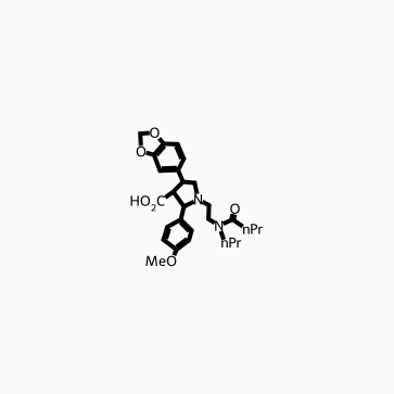 CCCC(=O)N(CCC)CCN1CC(c2ccc3c(c2)OCO3)C(C(=O)O)C1c1ccc(OC)cc1